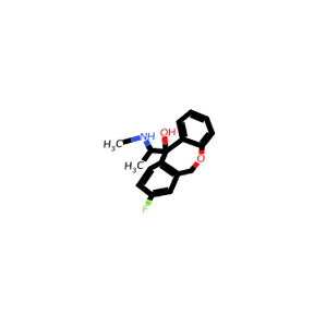 CNC(C)C1(O)c2ccc(F)cc2COc2ccccc21